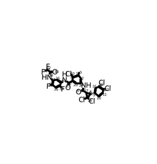 Cc1cc(NC(=O)C2[C@H](c3ccc(Cl)c(Cl)c3)C2(Cl)Cl)cc(C(=O)Nc2cc(NC(=O)C(F)F)c(F)cc2F)c1Cl